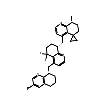 C[C@H]1CCC2(CC2)c2c(C[C@H]3CCC(F)(F)c4c(C[C@H]5CCCc6cc(F)cnc65)ccnc43)ccnc21